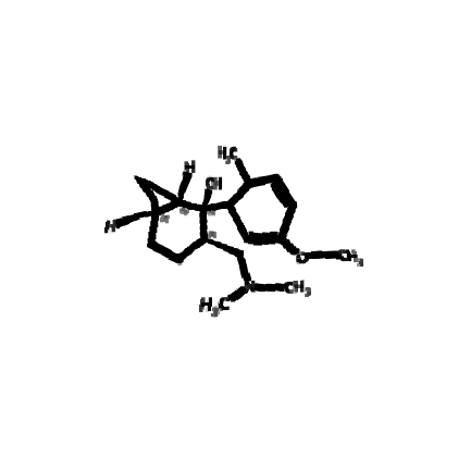 COC1=CC([C@]2(O)[C@@H](CN(C)C)CC[C@@H]3C[C@@H]32)C(C)C=C1